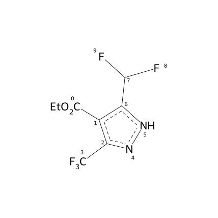 CCOC(=O)c1c(C(F)(F)F)n[nH]c1C(F)F